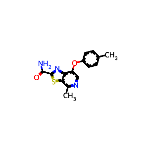 Cc1ccc(Oc2cnc(C)c3sc(C(N)=O)nc23)cc1